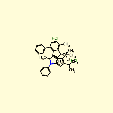 CC1=Cc2c(-c3ccccc3)ccc(C)c2[CH]1[Zr]([CH3])([CH3])(=[SiH2])[C]1=C(C(C)C)C=C2C1=CC(C)N2c1ccccc1.Cl.Cl